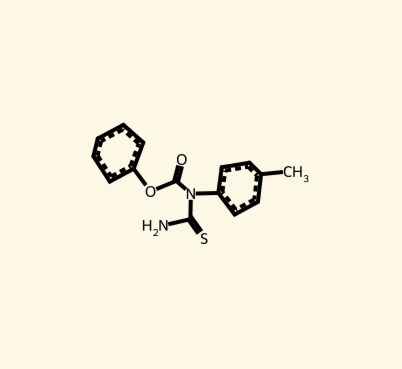 Cc1ccc(N(C(=O)Oc2ccccc2)C(N)=S)cc1